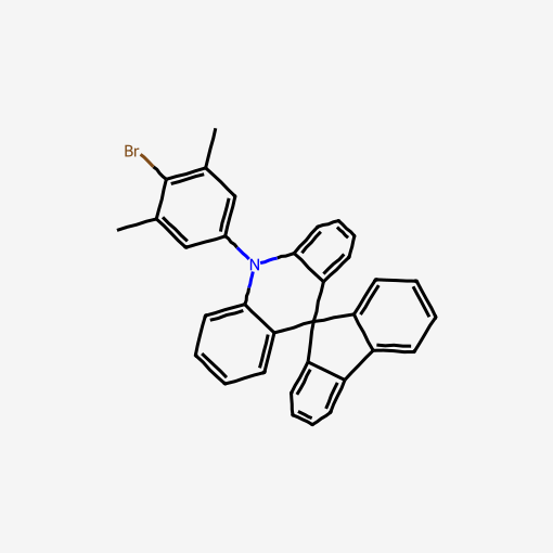 Cc1cc(N2c3ccccc3C3(c4ccccc4-c4ccccc43)c3ccccc32)cc(C)c1Br